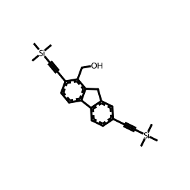 C[Si](C)(C)C#Cc1ccc2c(c1)Cc1c-2ccc(C#C[Si](C)(C)C)c1CO